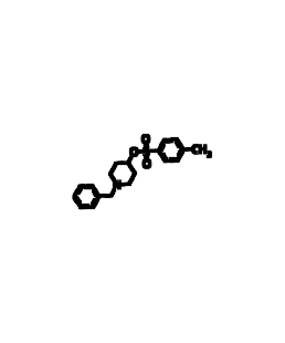 Cc1ccc(S(=O)(=O)OC2CCN(Cc3ccccc3)CC2)cc1